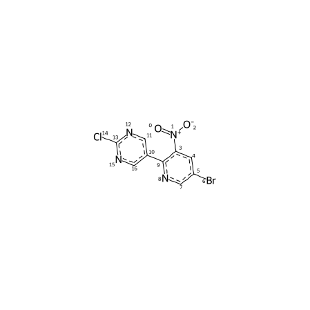 O=[N+]([O-])c1cc(Br)cnc1-c1cnc(Cl)nc1